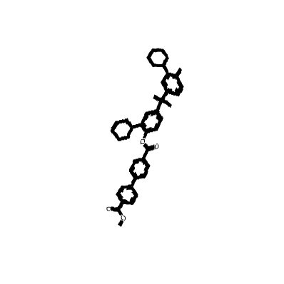 COC(=O)c1ccc(-c2ccc(C(=O)Oc3ccc(C(C)(C)c4ccc(C)c(C5CCCCC5)c4)cc3C3CCCCC3)cc2)cc1